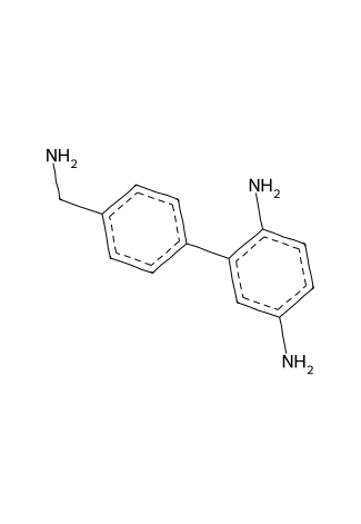 NCc1ccc(-c2cc(N)ccc2N)cc1